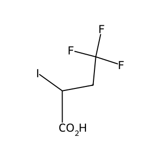 O=C(O)C(I)CC(F)(F)F